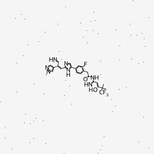 Cn1cc(/C(C=N)=C/c2ncc(-c3ccc(CC(=O)NC(=N)/C=C(\O)C(C)(C)C(F)(F)F)c(F)c3)[nH]2)cn1